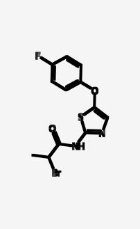 CC(Br)C(=O)Nc1ncc(Oc2ccc(F)cc2)s1